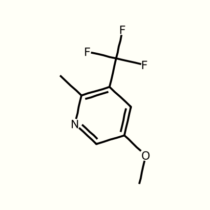 COc1cnc(C)c(C(F)(F)F)c1